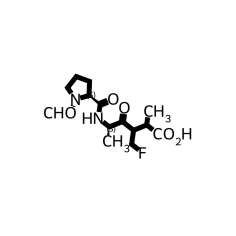 CC(C(=O)O)C(CF)C(=O)[C@H](C)NC(=O)[C@@H]1CCCN1C=O